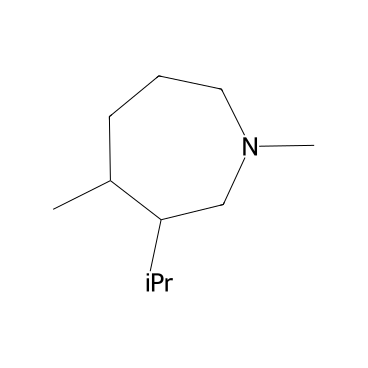 CC(C)C1CN(C)CCCC1C